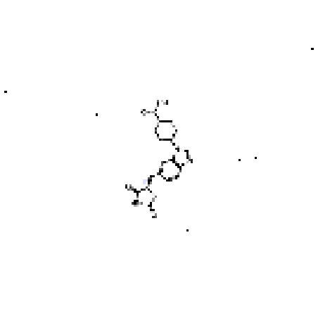 O=C1NC(=O)/C(=C/c2ccc3ncn(C4CCC(C(=O)O)CC4)c3c2)S1